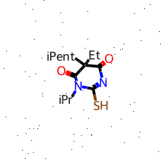 CCCC(C)C1(CC)C(=O)N=C(S)N(C(C)C)C1=O